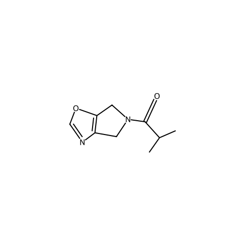 CC(C)C(=O)N1Cc2ncoc2C1